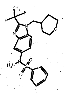 CN(c1ccc2c(c1)nc(C(C)(F)F)n2CC1CCOCC1)S(=O)(=O)c1ccccc1